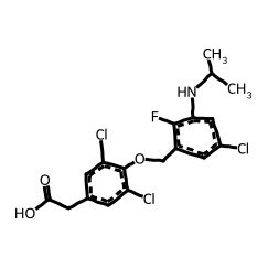 CC(C)Nc1cc(Cl)cc(COc2c(Cl)cc(CC(=O)O)cc2Cl)c1F